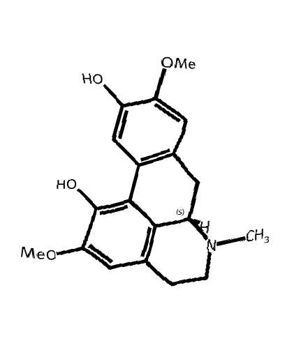 COc1cc2c(cc1O)-c1c(O)c(OC)cc3c1[C@H](C2)N(C)CC3